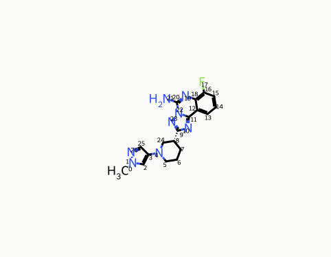 Cn1cc(N2CCC[C@@H](c3nc4c5cccc(F)c5nc(N)n4n3)C2)cn1